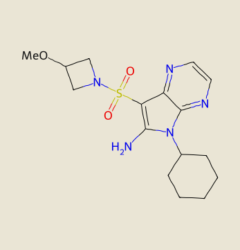 COC1CN(S(=O)(=O)c2c(N)n(C3CCCCC3)c3nccnc23)C1